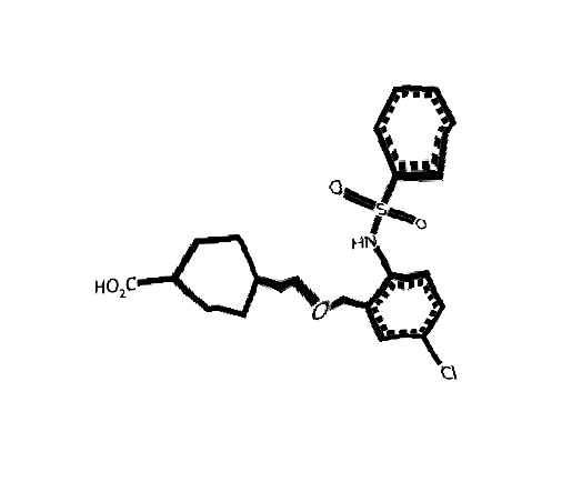 O=C(O)C1CCC(COc2cc(Cl)ccc2NS(=O)(=O)c2ccccc2)CC1